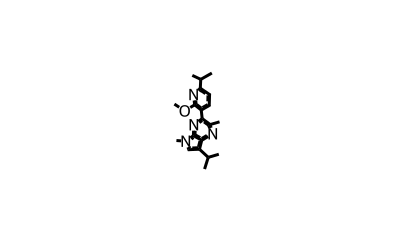 COc1nc(C(C)C)ccc1-c1nc2c(nc1C)c(C(C)C)cn2C